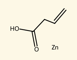 C=CCC(=O)O.[Zn]